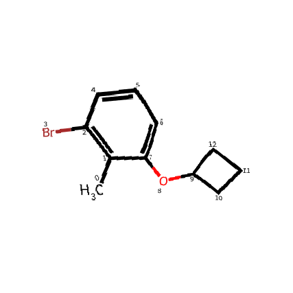 Cc1c(Br)cccc1OC1CCC1